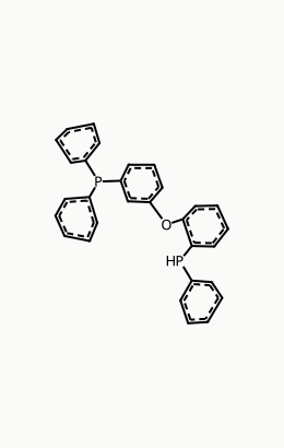 c1ccc(Pc2ccccc2Oc2cccc(P(c3ccccc3)c3ccccc3)c2)cc1